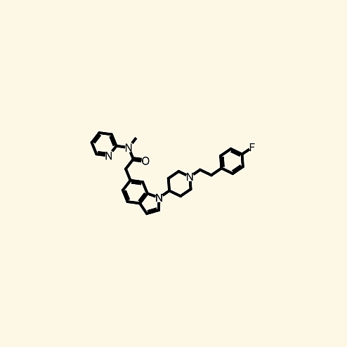 CN(C(=O)Cc1ccc2ccn(C3CCN(CCc4ccc(F)cc4)CC3)c2c1)c1ccccn1